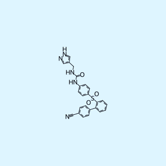 N#Cc1ccc(-c2ccccc2S(=O)(=O)c2ccc(NC(=O)NCc3cn[nH]c3)cc2)cc1